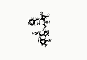 O=c1c(NCCSc2nonc2/C(=N/O)Nc2ccc(F)c(Br)c2)c(NCc2ccncc2)c1=O